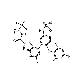 CCS(=O)(=O)Nc1ccc(Oc2c(C)cc(F)cc2C)c(-c2cn(C)c(=O)c3cc(C(=O)NC4(C(C)(F)F)CC4)sc23)c1